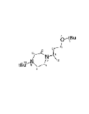 CC(CCOC(C)(C)C)N1CCN(C(C)(C)C)CC1